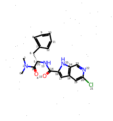 CN(C)C(=O)[C@H](Cc1ccccc1)NC(=O)c1cc2cc(Cl)ncc2[nH]1